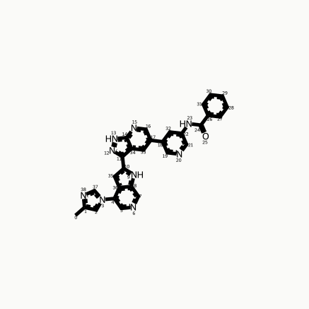 Cc1cn(-c2cncc3[nH]c(-c4n[nH]c5ncc(-c6cncc(NC(=O)c7ccccc7)c6)cc45)cc23)cn1